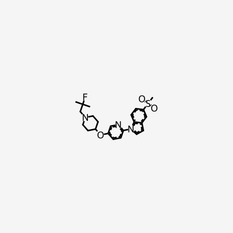 CC(C)(F)CN1CCC(Oc2ccc(-n3ccc4cc(S(C)(=O)=O)ccc43)nc2)CC1